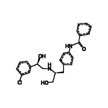 O=C(Nc1ccc(C[C@@H](CO)NC[C@H](O)c2cccc(Cl)c2)cc1)c1ccccc1